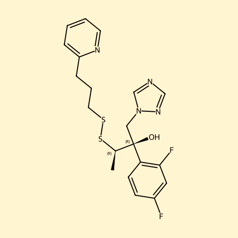 C[C@@H](SSCCCc1ccccn1)[C@](O)(Cn1cncn1)c1ccc(F)cc1F